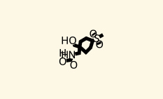 CS(=O)(=O)C1CCC(CO)(CNC(=O)O)CC1